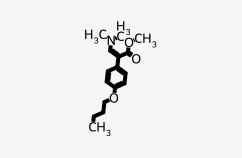 CCCCOc1ccc(/C(=C/N(C)C)C(=O)OC)cc1